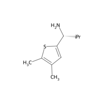 Cc1cc([C@H](N)C(C)C)sc1C